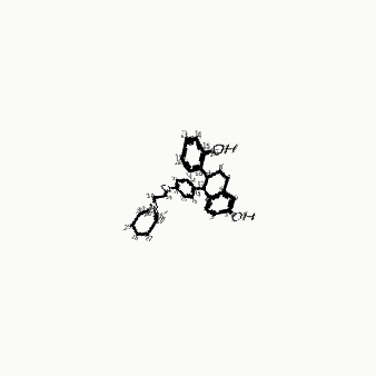 Oc1ccc2c(c1)CCC(c1ccccc1O)C2c1ccc(OCCN2CCCCC2)cc1